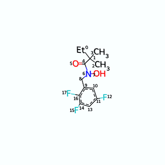 CCC(C)(C)C(=O)N(O)Cc1cc(F)cc(F)c1F